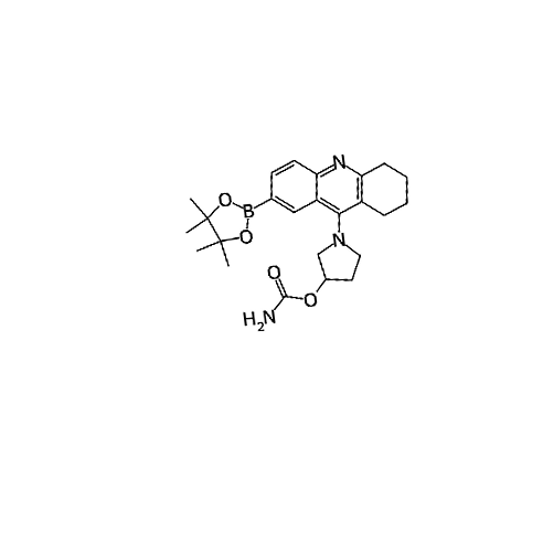 CC1(C)OB(c2ccc3nc4c(c(N5CCC(OC(N)=O)C5)c3c2)CCCC4)OC1(C)C